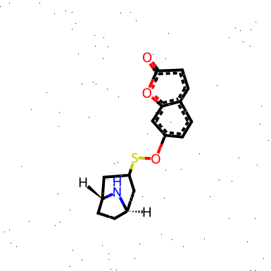 O=c1ccc2ccc(OSC3C[C@H]4CC[C@H](C3)N4)cc2o1